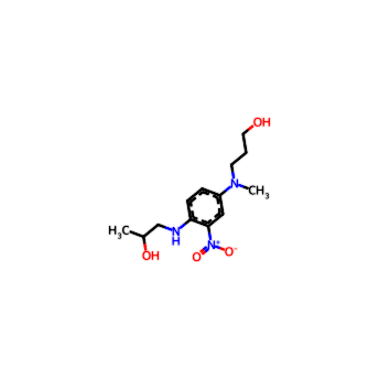 CC(O)CNc1ccc(N(C)CCCO)cc1[N+](=O)[O-]